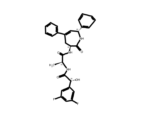 C[C@H](NC(=O)[C@H](O)c1cc(F)cc(F)c1)C(=O)N[C@H]1CC(c2ccccc2)=C[C@H](c2ccccc2)NC1=O